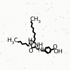 CCCCCCCCCC(=O)N[C@@H](CNCc1ccc(C(=O)O)cc1)C(=O)NCCCCCC